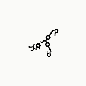 CCC(Oc1ccc(SCC=C(c2ccc(C#CCN3CCCC3=O)cc2)c2ccc(C#CCN3CCCC3=O)cc2)cc1C)C(=O)O